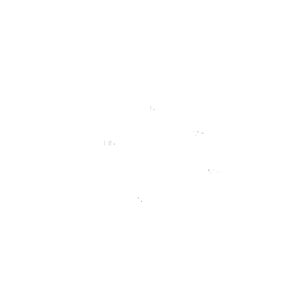 CCN1CC[C@@H](Nc2c3c(nc4cc(OC)c(OC)cc24)CCC3)C1